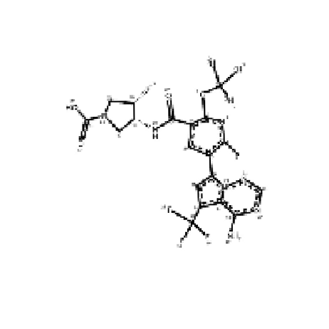 [2H]C([2H])([2H])Oc1nc(C)c(-c2cc(C(F)(F)F)c3c(N)ncnn23)cc1C(=O)N[C@@H]1CN(C(=O)O)C[C@@H]1F